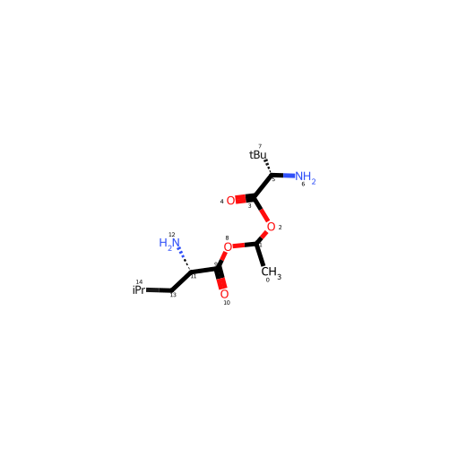 C[C](OC(=O)[C@@H](N)C(C)(C)C)OC(=O)[C@@H](N)CC(C)C